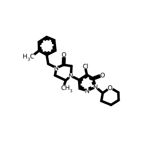 Cc1ccccc1CN1CC(C)N(c2cnn(C3CCCCO3)c(=O)c2Cl)CC1=O